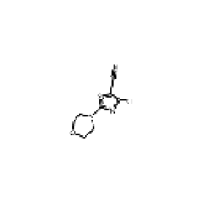 N#Cc1sc(N2CCOCC2)nc1Cl